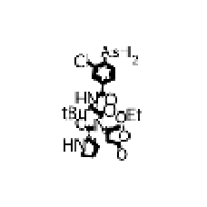 CCO[C@@H]1OC(=O)C[C@@H]1N(C(=O)[C@@H]1CCCN1)C(=O)[C@@H](NC(=O)c1ccc([AsH2])c(Cl)c1)C(C)(C)C